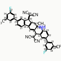 CC12CC3=C(C=C1C(C(C#N)C#N)c1cc(-c4cc(F)cc(C(F)(F)F)c4)ccc1N2)c1ccc(-c2cc(F)cc(C(F)(F)F)c2)cc1C3=C(C#N)C#N